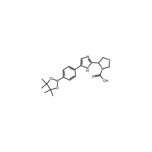 CC1(C)OB(c2ccc(-c3cnc(C4CSCN4C(=O)O)[nH]3)cc2)OC1(C)C